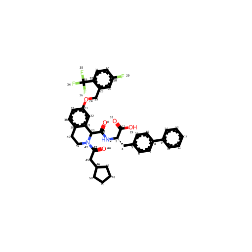 O=C(N[C@@H](Cc1ccc(-c2ccccc2)cc1)C(=O)O)C1c2cc(OCc3cc(F)ccc3C(F)(F)F)ccc2CCN1C(=O)CC1CCCC1